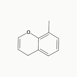 Cc1cccc2c1OC=CC2